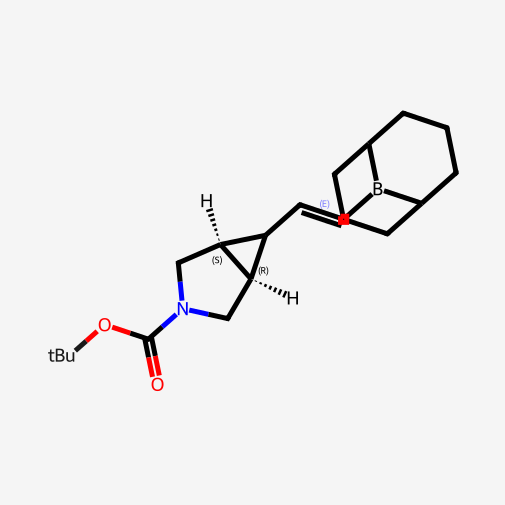 CC(C)(C)OC(=O)N1C[C@@H]2C(/C=C/B3C4CCCC3CCC4)[C@@H]2C1